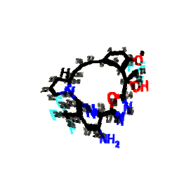 COc1ccc2cc1C(O)(C(F)(F)F)c1nnc(o1)-c1nc(c(C(F)(F)F)cc1N)N1CCC[C@H]1CCC2